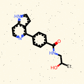 CCC(O)CNC(=O)c1ccc(-c2nccc3[nH]ccc23)cc1